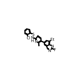 CCc1cc(-c2ccc(NSc3ccccc3Cl)nc2C)cc2cnc(F)nc12